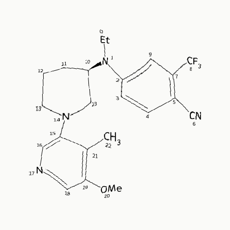 CCN(c1ccc(C#N)c(C(F)(F)F)c1)[C@@H]1CCCN(c2cncc(OC)c2C)C1